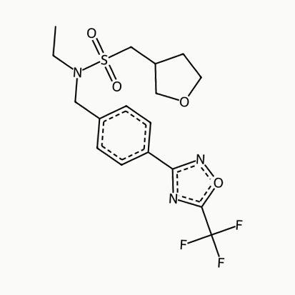 CCN(Cc1ccc(-c2noc(C(F)(F)F)n2)cc1)S(=O)(=O)CC1CCOC1